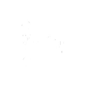 CCOCC.O=P(O/C=C/c1ccccc1)(O/C=C/c1ccccc1)Oc1ccccc1